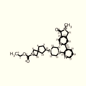 CCOC(=O)N1CC2(CC[C@@H](N3CCN(c4ncccc4-c4cc5c(cn4)C(=O)N(C)C5)CC3)C2)C1